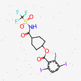 O=C(OC1CCC(C(=O)NS(=O)(=O)C(F)(F)F)CC1)c1c(I)ccc(I)c1I